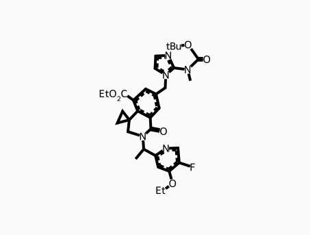 CCOC(=O)c1cc(Cn2ccnc2N(C)C(=O)OC(C)(C)C)cc2c1C1(CC1)CN(C(C)c1cc(OCC)c(F)cn1)C2=O